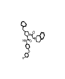 O=C(Nc1ccc(Oc2ccc(F)cc2)cc1)C1CC(Cc2ccccc2)CN1C(=O)CN1CCc2ccccc2C1